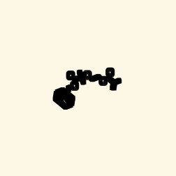 C=C(C)C(=O)OCCOC(C)(C)C(=O)OCC12CC3CC(CC(C3)C1)C2